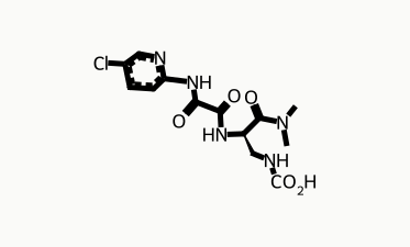 CN(C)C(=O)[C@@H](CNC(=O)O)NC(=O)C(=O)Nc1ccc(Cl)cn1